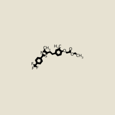 CCOC(=O)COc1ccc(CCc2sc(-c3ccc(C(F)(F)F)cc3)nc2C)cc1C